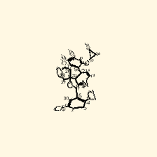 Clc1ccc(Cl)c(COC2(c3cnccc3-c3ccccc3OC3CC3)CCOC2)c1